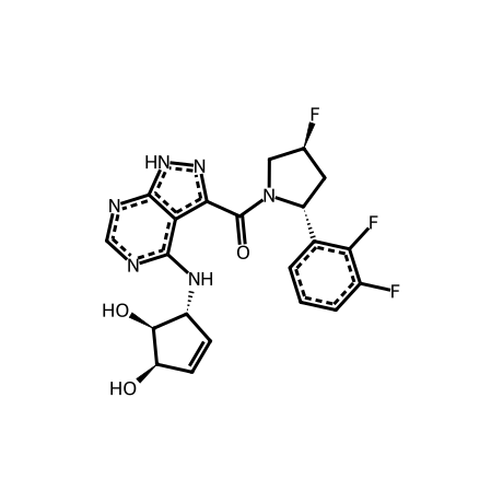 O=C(c1n[nH]c2ncnc(N[C@@H]3C=C[C@@H](O)[C@H]3O)c12)N1C[C@@H](F)C[C@@H]1c1cccc(F)c1F